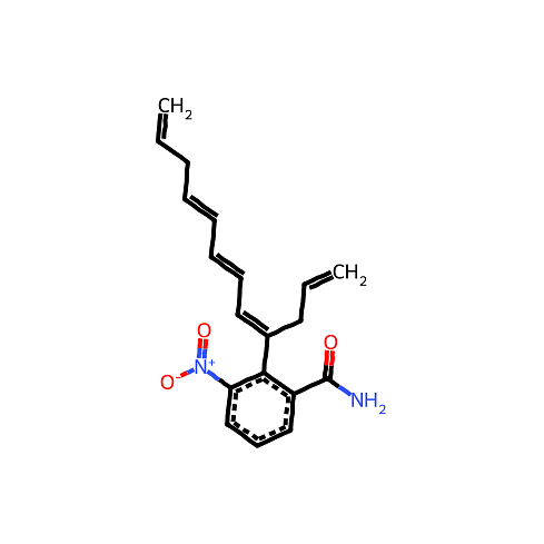 C=CCC=CC=CC=C(CC=C)c1c(C(N)=O)cccc1[N+](=O)[O-]